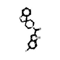 O=C(c1cc2cc(F)ccc2[nH]1)N1CCC2(CC1)COc1ccccc12